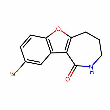 O=C1NCCCc2oc3ccc(Br)cc3c21